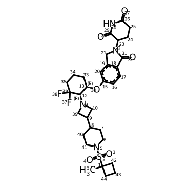 CC1(S(=O)(=O)N2CCC(C3CN([C@@H]4[C@H](Oc5ccc6c(c5)CN(C5CCC(=O)NC5=O)C6=O)CCCC4(F)F)C3)CC2)CCC1